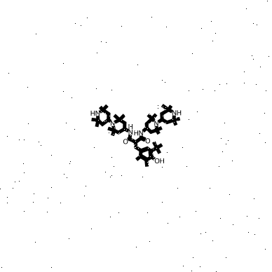 Cc1c(CC(C(=O)NC2CC(C)(C)N(C3CC(C)(C)NC(C)(C)C3)C(C)(C)C2)C(=O)NC2CC(C)(C)N(C3CC(C)(C)NC(C)(C)C3)C(C)(C)C2)cc(C(C)(C)C)c(O)c1C